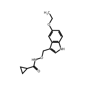 CCOc1ccc2[nH]cc(CONC(=O)C3CC3)c2c1